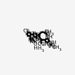 C=C(C)c1sc2cc1-c1ccc(NC(=O)OC)cc1NC(=O)[C@H](C)CCC[C@@H]2n1cnc(-c2cc(Cl)ccc2-n2cc(CO)nn2)cc1=O